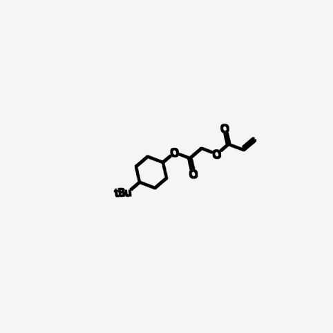 C=CC(=O)OCC(=O)OC1CCC(C(C)(C)C)CC1